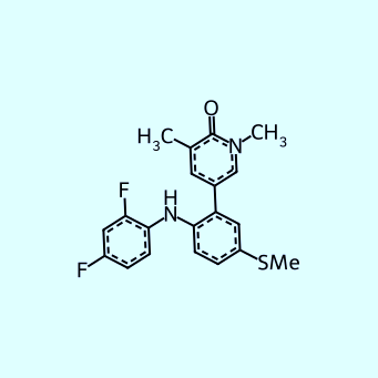 CSc1ccc(Nc2ccc(F)cc2F)c(-c2cc(C)c(=O)n(C)c2)c1